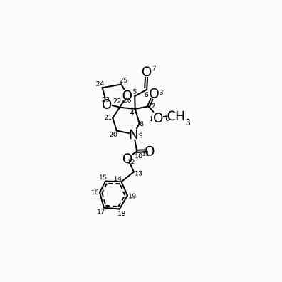 COC(=O)C1(CC=O)CN(C(=O)OCc2ccccc2)CCC12OCCO2